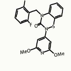 COc1cc(N2Sc3ccccc3N(Cc3c(F)cccc3F)C2=O)cc(OC)n1